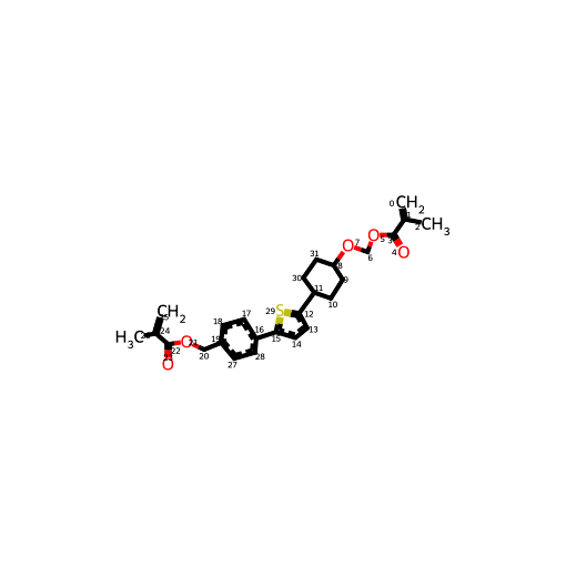 C=C(C)C(=O)OCOC1CCC(c2ccc(-c3ccc(COC(=O)C(=C)C)cc3)s2)CC1